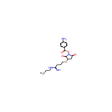 CCCNC(=N)CCCSC1CC(=O)N(OC(=O)c2ccc(N)cc2)C1=O